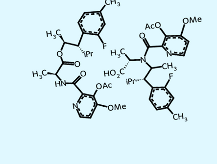 COc1ccnc(C(=O)N(C(C)[C@H](c2ccc(C)cc2F)C(C)C)[C@@H](C)C(=O)O)c1OC(C)=O.COc1ccnc(C(=O)N[C@@H](C)C(=O)O[C@@H](C)[C@H](c2ccc(C)cc2F)C(C)C)c1OC(C)=O